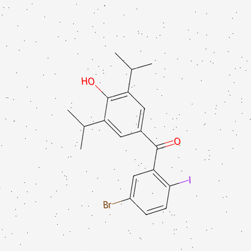 CC(C)c1cc(C(=O)c2cc(Br)ccc2I)cc(C(C)C)c1O